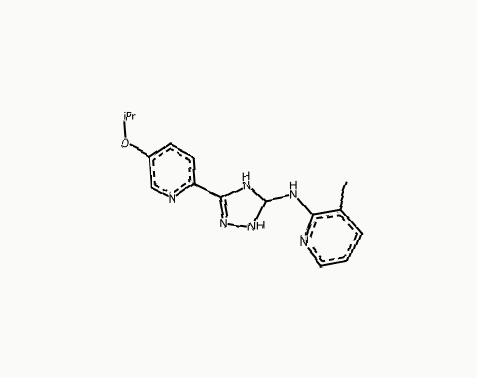 Cc1cccnc1NC1NN=C(c2ccc(OC(C)C)cn2)N1